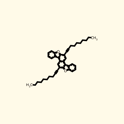 CCCCCCCCC#Cc1cc2c(cc(C#CCCCCCCCC)c3oc4ccccc4c32)c2c1oc1ccccc12